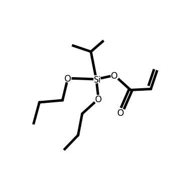 C=CC(=O)O[Si](OCCC)(OCCC)C(C)C